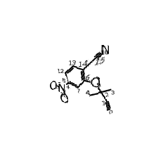 C#CC(C)(C)Oc1cc([N+](=O)[O-])ccc1C#N